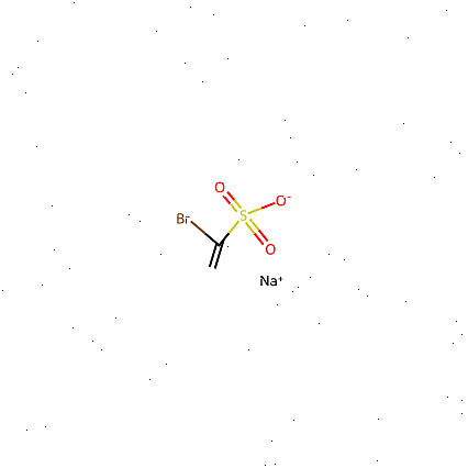 C=C(Br)S(=O)(=O)[O-].[Na+]